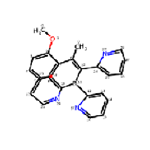 COc1ccccc1/C(C)=C(\B(c1ccccn1)c1ccccn1)c1ccccn1